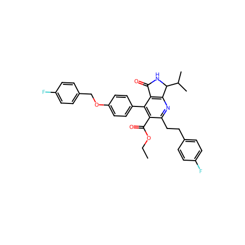 CCOC(=O)c1c(CCc2ccc(F)cc2)nc2c(c1-c1ccc(OCc3ccc(F)cc3)cc1)C(=O)NC2C(C)C